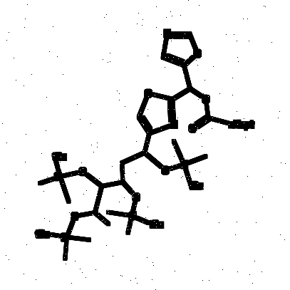 CCCCCCCC(=O)OC(c1cnco1)c1nc(C(CC(O[Si](C)(C)C(C)(C)C)C(O[Si](C)(C)C(C)(C)C)C(C)O[Si](C)(C)C(C)(C)C)O[Si](C)(C)C(C)(C)C)co1